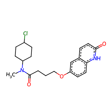 CN(C(=O)CCCOc1ccc2[nH]c(=O)ccc2c1)C1CCC(Cl)CC1